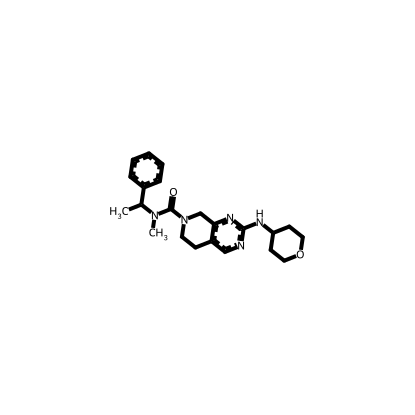 CC(c1ccccc1)N(C)C(=O)N1CCc2cnc(NC3CCOCC3)nc2C1